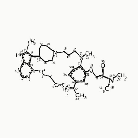 COCCOc1ncnc2[nH]c(C)c(C3CCN(CCCN(C)c4ccc(C(C)=O)cc4OCC(=O)N(C)C)CC3)c12